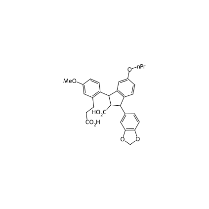 CCCOc1ccc2c(c1)C(c1ccc(OC)cc1CCC(=O)O)C(C(=O)O)C2c1ccc2c(c1)OCO2